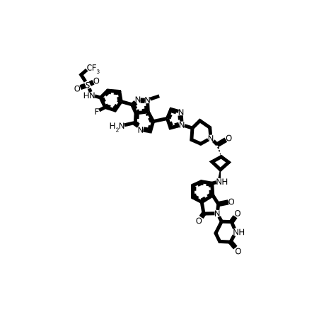 Cn1nc(-c2ccc(NS(=O)(=O)CC(F)(F)F)c(F)c2)c2c(N)ncc(-c3cnn(C4CCN(C(=O)[C@H]5C[C@H](Nc6cccc7c6C(=O)N(C6CCC(=O)NC6=O)C7=O)C5)CC4)c3)c21